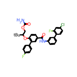 CC(C)(C)C(COC(N)=O)Oc1ccc(C(=O)Nc2cccc(-c3ccc(Cl)cc3F)c2)cc1-c1ccc(F)cc1